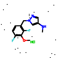 CNc1cnn(Cc2ccc(F)c(OC)c2F)c1.Cl